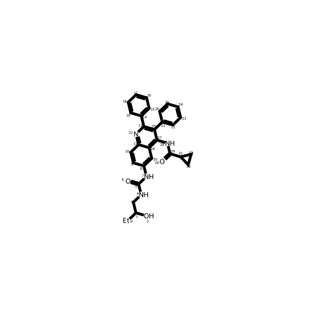 CCC(O)CNC(=O)Nc1ccc2nc(-c3ccccc3)c(-c3ccccc3)c(NC(=O)C3CC3)c2c1